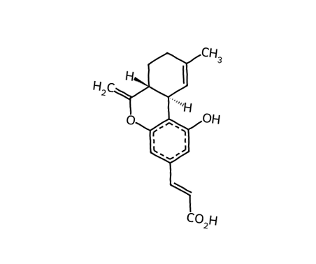 C=C1Oc2cc(/C=C/C(=O)O)cc(O)c2[C@@H]2C=C(C)CC[C@@H]12